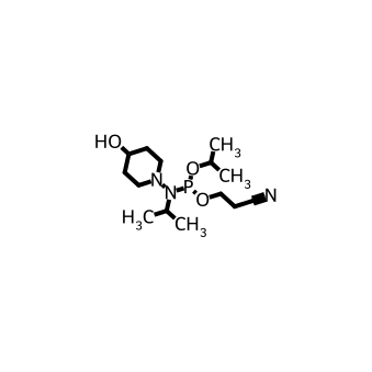 CC(C)OP(OCCC#N)N(C(C)C)N1CCC(O)CC1